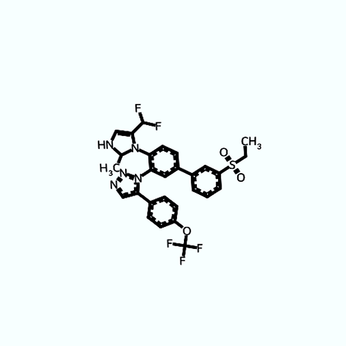 CCS(=O)(=O)c1cccc(-c2ccc(N3C(C(F)F)=CNC3C)c(-n3nncc3-c3ccc(OC(F)(F)F)cc3)c2)c1